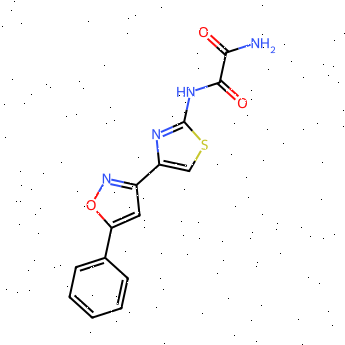 NC(=O)C(=O)Nc1nc(-c2cc(-c3ccccc3)on2)cs1